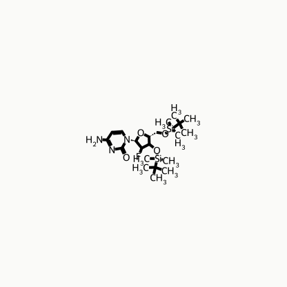 CC(C)(C)[Si](C)(C)OC[C@H]1O[C@@H](n2ccc(N)nc2=O)C(F)C1O[Si](C)(C)C(C)(C)C